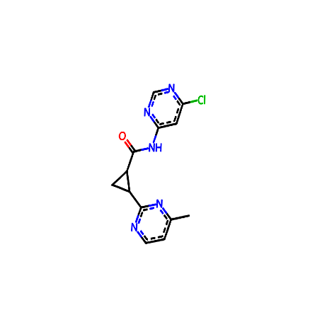 Cc1ccnc(C2CC2C(=O)Nc2cc(Cl)ncn2)n1